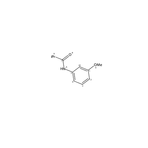 COc1cccc(NC(=O)C(C)C)c1